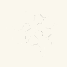 CCC1=CCC(C(c2cc(C)cc(C)c2)(c2cc(C)cc(C)c2)c2cc(C)cc(C)c2)=[C]1[Ti+3].[Cl-].[Cl-].[Cl-]